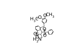 COc1ccc(Cc2cccc3c2C(S(=O)(=O)c2ccccc2)C(CN)S3(=O)=O)cc1OC